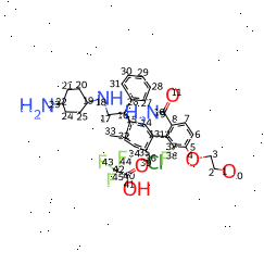 COCCOc1ccc(C(N)=O)c(-c2cc(C(CNC3CCC(N)CC3)c3ccccc3)c(C)cc2Cl)c1F.O=C(O)C(F)(F)F